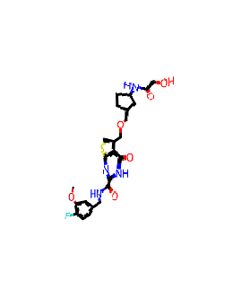 COc1cc(CNC(=O)c2nc3scc(COCC4CCC(NC(=O)CO)C4)c3c(=O)[nH]2)ccc1F